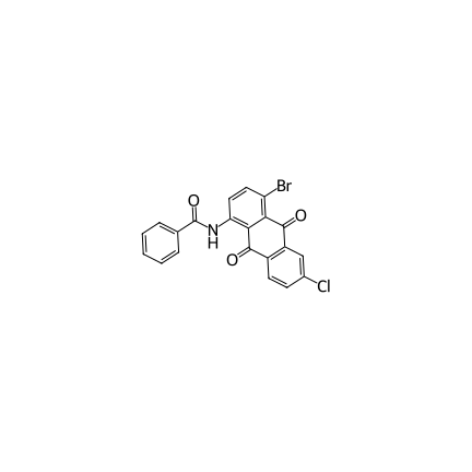 O=C(Nc1ccc(Br)c2c1C(=O)c1ccc(Cl)cc1C2=O)c1ccccc1